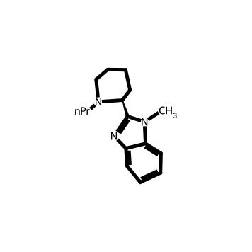 CCCN1CCCC[C@H]1c1nc2ccccc2n1C